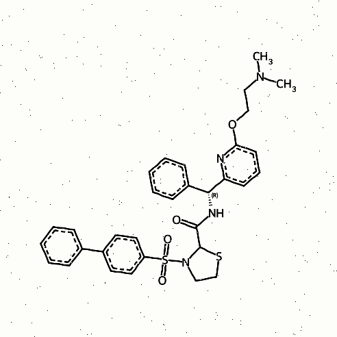 CN(C)CCOc1cccc([C@H](NC(=O)C2SCCN2S(=O)(=O)c2ccc(-c3ccccc3)cc2)c2ccccc2)n1